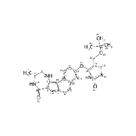 C[C@@H]1CNc2c(sc3ccc4nc(Oc5nc(Cl)ncc5COC(C)(C)C)ccc4c23)C(=O)N1